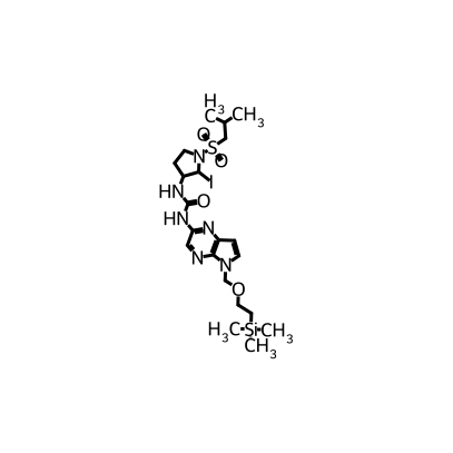 CC(C)CS(=O)(=O)N1CCC(NC(=O)Nc2cnc3c(ccn3COCC[Si](C)(C)C)n2)C1I